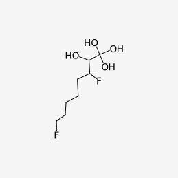 OC(C(F)CCCCCF)C(O)(O)O